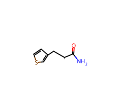 NC(=O)[CH]Cc1ccsc1